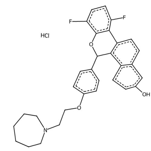 Cl.Oc1ccc2c3c(ccc2c1)-c1c(F)ccc(F)c1OC3c1ccc(OCCN2CCCCCC2)cc1